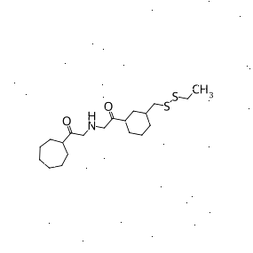 CCSSCC1CCCC(C(=O)CNCC(=O)C2CCCCCC2)C1